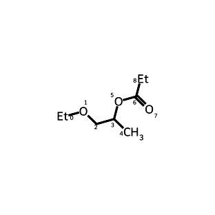 CCOCC(C)OC(=O)CC